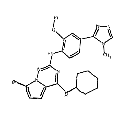 CCOc1cc(-c2nncn2C)ccc1Nc1nc(NC2CCCCC2)c2ccc(Br)n2n1